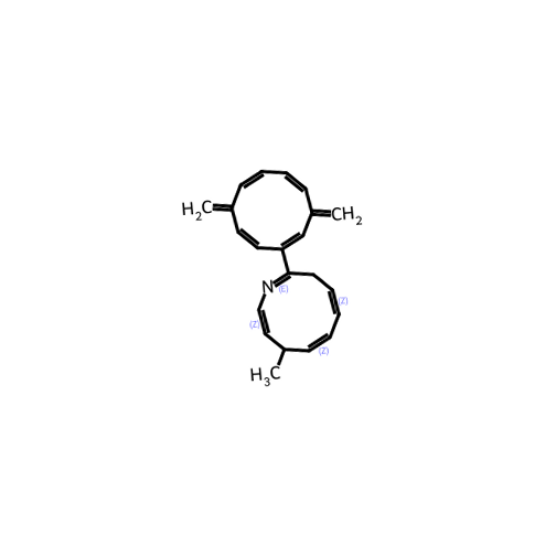 C=c1ccccc(=C)cc(/C2=N/C=C\C(C)/C=C\C=C/C2)cc1